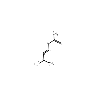 CC(=O)C/C=C/C(C)C